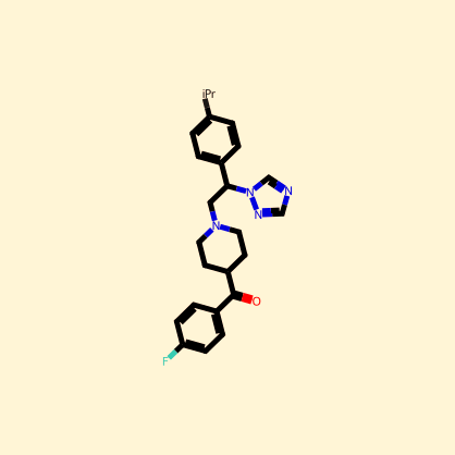 CC(C)c1ccc(C(CN2CCC(C(=O)c3ccc(F)cc3)CC2)n2cncn2)cc1